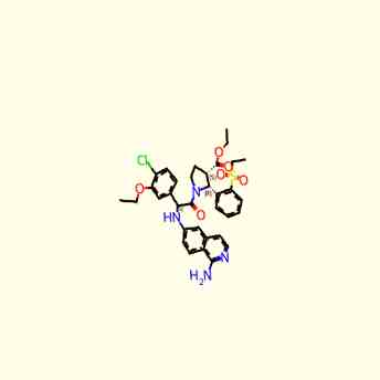 CCOC(=O)[C@H]1CCN(C(=O)[C@@H](Nc2ccc3c(N)nccc3c2)c2ccc(Cl)c(OCC)c2)[C@H]1c1ccccc1S(=O)(=O)CC